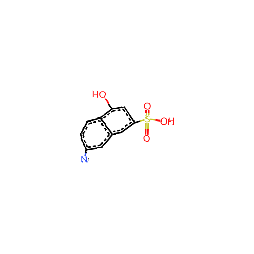 [N]c1ccc2c(O)cc(S(=O)(=O)O)cc2c1